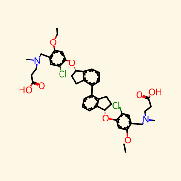 CCOc1cc(O[C@H]2CCc3c(-c4cccc5c4CC[C@@H]5Oc4cc(OCC)c(CN(C)CCC(=O)O)cc4Cl)cccc32)c(Cl)cc1CN(C)CCC(=O)O